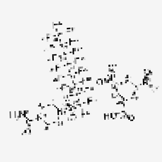 NC(=O)N1CCN(S(=O)(=O)C(F)(F)C(F)(F)C(F)(F)C(F)(F)C(F)(F)C(F)(F)C(F)(F)C(F)(F)F)CC1.O=C(O)c1cc([N+](=O)[O-])cc([N+](=O)[O-])c1